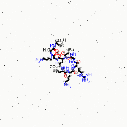 CC[C@H](C)[C@H](NC(=O)CNC(=O)[C@H](CCCNC(=N)N)NC(=O)[C@H](CCCCN)NC(=O)[C@@H](N)CC(C)C)C(=O)N[C@@H](CCC(=O)O)C(=O)N[C@@H](CCCCN)C(=O)N[C@@H](C)C(=O)N[C@H](C(=O)O)C(C)C